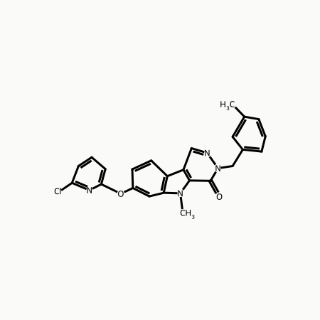 Cc1cccc(Cn2ncc3c4ccc(Oc5cccc(Cl)n5)cc4n(C)c3c2=O)c1